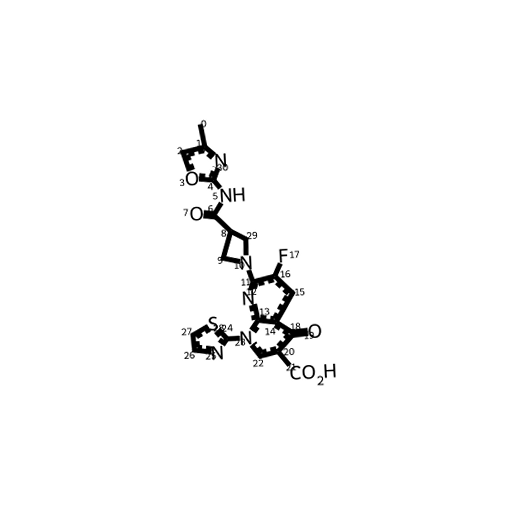 Cc1coc(NC(=O)C2CN(c3nc4c(cc3F)c(=O)c(C(=O)O)cn4-c3nccs3)C2)n1